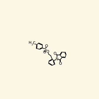 Cc1ccc(S(=O)(=O)OCCc2ccccc2N2C(=O)c3ccccc3C2=O)cc1